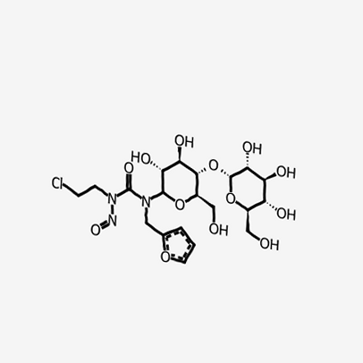 O=NN(CCCl)C(=O)N(Cc1ccco1)C1O[C@H](CO)[C@@H](O[C@H]2O[C@H](CO)[C@@H](O)[C@H](O)[C@H]2O)[C@H](O)[C@H]1O